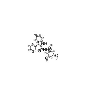 COc1cc(OC)c(CNC(=O)c2[nH]c3ccc(F)cc3c2-c2ccccc2)c(OC)c1